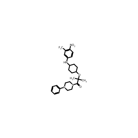 CC(C)(OC1CCC(Nc2ccc([N+](=O)[O-])c(C(F)(F)F)c2)CC1)C(=O)N1CCN(c2ccccc2)CC1